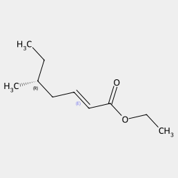 CCOC(=O)/C=C/C[C@H](C)CC